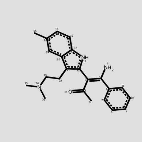 CC(=O)/C(=C(/N)c1ccccc1)c1[nH]c2ccc(C)cc2c1CCN(C)C